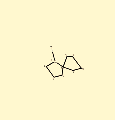 IN1CCCC12CCCC2